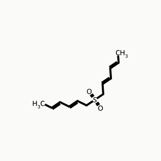 CC=CC=CCS(=O)(=O)CC=CC=CC